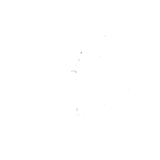 O=[Si](O)OOO[Si](=O)O.Oc1ccccc1